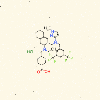 CCN(C[C@H]1CC[C@H](C(=O)O)CC1)c1cc2c(cc1CN(Cc1cc(C(F)(F)F)cc(C(F)(F)F)c1)c1ccn(C)n1)CCCC2.Cl